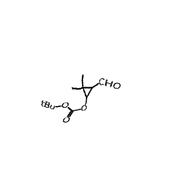 CC(C)(C)OC(=O)OC1C(C=O)C1(C)C